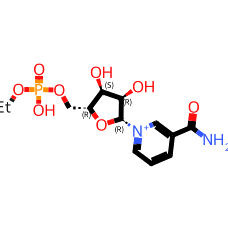 CCOP(=O)(O)OC[C@H]1O[C@@H]([n+]2cccc(C(N)=O)c2)[C@H](O)[C@@H]1O